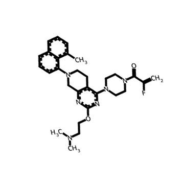 C=C(F)C(=O)N1CCN(c2nc(OCCN(C)C)nc3c2CCN(c2cccc4cccc(C)c24)C3)CC1